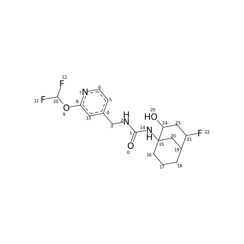 O=C(NCc1ccnc(OC(F)F)c1)NC12CCCC(C1)C(F)CC2O